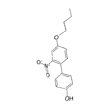 CCCCOc1ccc(-c2ccc(O)cc2)c([N+](=O)[O-])c1